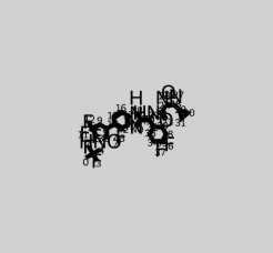 CC(F)(F)CNC(=O)C(CC(F)(F)F)c1ccc2[nH]c([C@@H](NC(=O)c3nonc3C3CC3)C3CCC(F)(F)CC3)nc2c1F